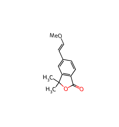 COC=Cc1ccc2c(c1)C(C)(C)OC2=O